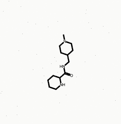 CN1CCC(CNC(=O)C2CCCCN2)CC1